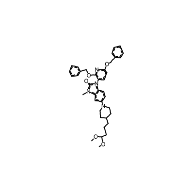 COC(CCCC1CCN(c2ccc3c(c2)n(C)c(=O)n3-c2ccc(OCc3ccccc3)nc2OCc2ccccc2)CC1)OC